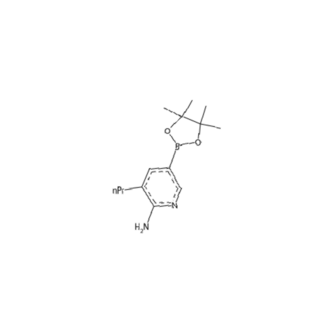 CCCc1cc(B2OC(C)(C)C(C)(C)O2)cnc1N